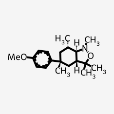 COc1ccc([C@@]2(C)C[C@@H]3[C@@H]([C@@H](C)C2)N(C)OC3(C)C)cc1